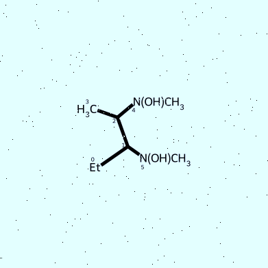 CCC(C(C)N(C)O)N(C)O